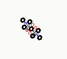 c1ccc(N2c3cccc4c3[SiH]3c5c(cccc52)Oc2c5c6c(c(c23)O4)Oc2cccc3c2[SiH]6c2c(cccc2N3c2ccccc2)O5)cc1